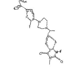 CNC(=O)c1ccc(N2CCN(C(C)c3ccc4c(=O)n(C)c(=O)[nH]c4c3)CC2)c(F)n1